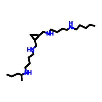 CCCCCNCCCCNCC1CC1CNCCCCNC(C)CCC